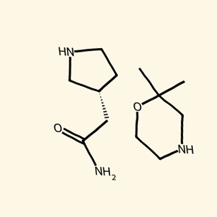 CC1(C)CNCCO1.NC(=O)C[C@H]1CCNC1